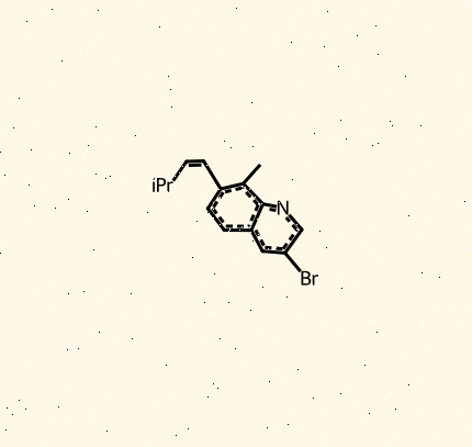 Cc1c(/C=C\C(C)C)ccc2cc(Br)cnc12